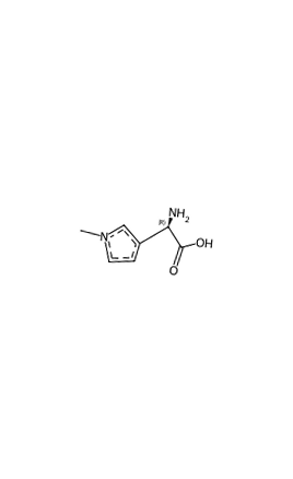 Cn1ccc([C@@H](N)C(=O)O)c1